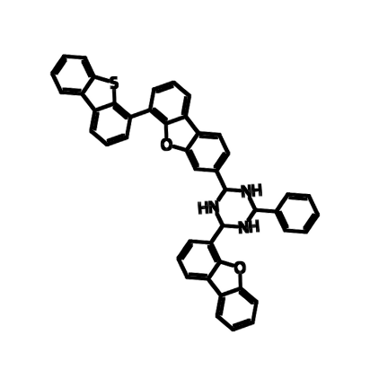 c1ccc(C2NC(c3ccc4c(c3)oc3c(-c5cccc6c5sc5ccccc56)cccc34)NC(c3cccc4c3oc3ccccc34)N2)cc1